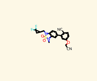 CN1c2cc(-c3cc(OCC#N)ccc3C#N)ccc2N(CC2CC2(F)F)S1(=O)=O